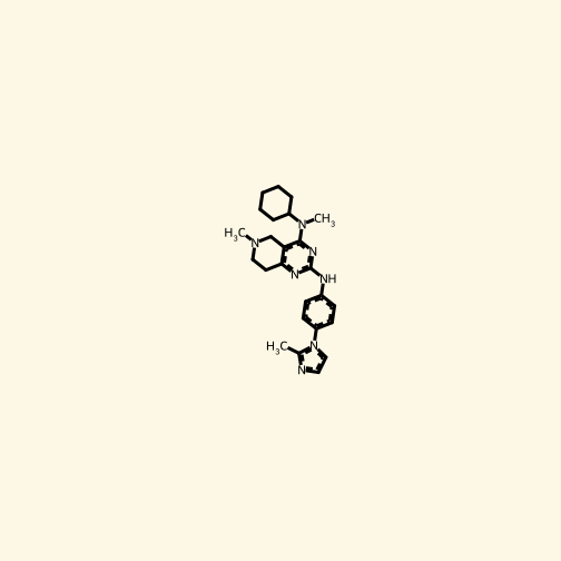 Cc1nccn1-c1ccc(Nc2nc3c(c(N(C)C4CCCCC4)n2)CN(C)CC3)cc1